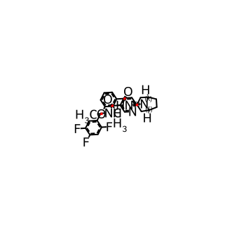 COc1cccc(C(=O)N[C@H]2C[C@H]3CC[C@@H](C2)N3c2ccc(C(=O)NCc3cc(F)c(F)cc3F)cn2)c1C